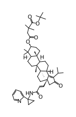 CC(C)C1=C2[C@H]3CC[C@@H]4[C@@]5(C)CC[C@H](OC(=O)CC(C)(C)C(=O)OC(C)(C)C)C(C)(C)[C@@H]5CC[C@@]4(C)[C@]3(C)CC[C@@]2(C=CC(=O)NC2(c3ccccn3)CC2)CC1=O